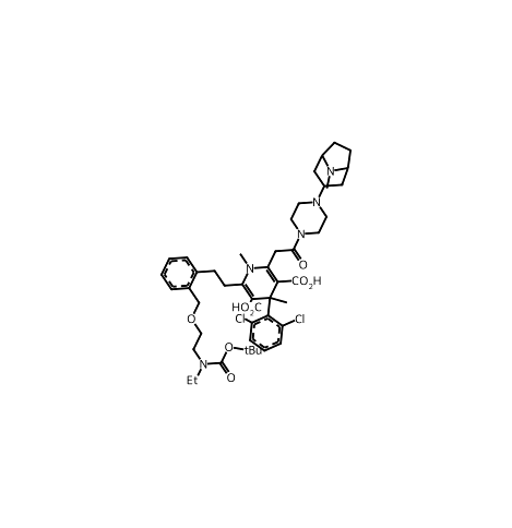 CCN(CCOCc1ccccc1CCC1=C(C(=O)O)C(C)(c2c(Cl)cccc2Cl)C(C(=O)O)=C(CC(=O)N2CCN(C3CC4CCC(C3)N4C)CC2)N1C)C(=O)OC(C)(C)C